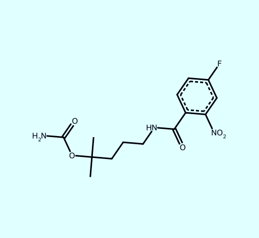 CC(C)(CCCNC(=O)c1ccc(F)cc1[N+](=O)[O-])OC(N)=O